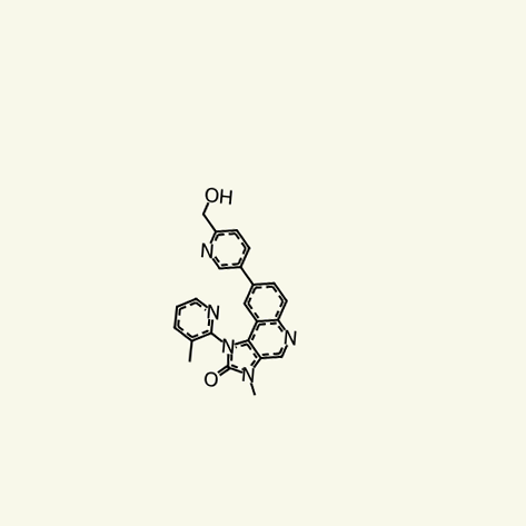 Cc1cccnc1-n1c(=O)n(C)c2cnc3ccc(-c4ccc(CO)nc4)cc3c21